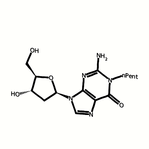 CCCCCn1c(N)nc2c(ncn2[C@H]2C[C@H](O)[C@@H](CO)O2)c1=O